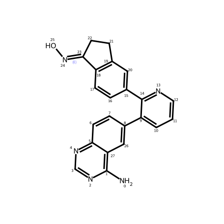 Nc1ncnc2ccc(-c3cccnc3-c3ccc4c(c3)CC/C4=N\O)cc12